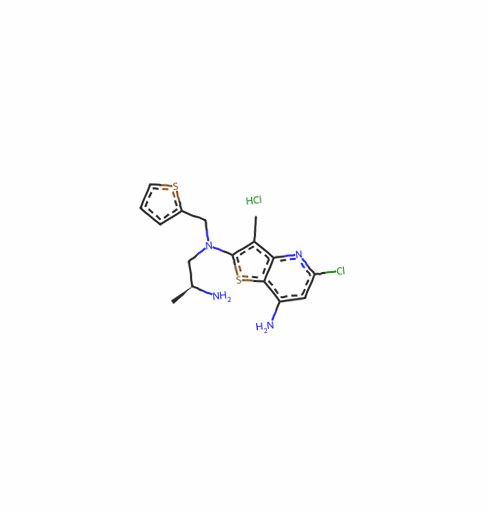 Cc1c(N(Cc2cccs2)C[C@H](C)N)sc2c(N)cc(Cl)nc12.Cl